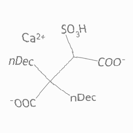 CCCCCCCCCCC(CCCCCCCCCC)(C(=O)[O-])C(C(=O)[O-])S(=O)(=O)O.[Ca+2]